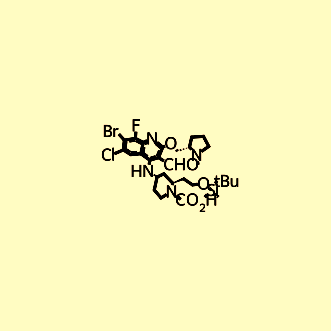 CN1CCC[C@H]1COc1nc2c(F)c(Br)c(Cl)cc2c(N[C@H]2CCN(C(=O)O)[C@H](CCO[Si](C)(C)C(C)(C)C)C2)c1C=O